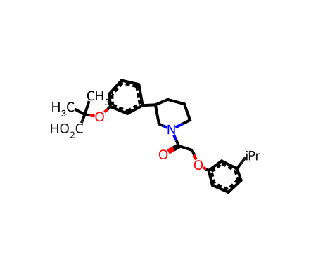 CC(C)c1cccc(OCC(=O)N2CCCC(c3cccc(OC(C)(C)C(=O)O)c3)C2)c1